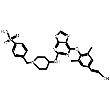 Cc1cc(/C=C/C#N)cc(C)c1Oc1nc(NC2CCN(Cc3ccc(S(N)(=O)=O)cc3)CC2)nc2scnc12